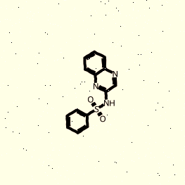 O=S(=O)(Nc1cnc2ccccc2n1)c1ccccc1